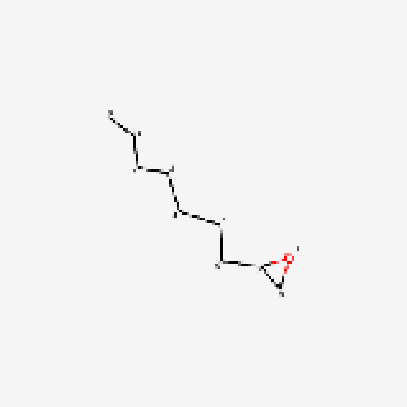 C[CH]CCCCCC1CO1